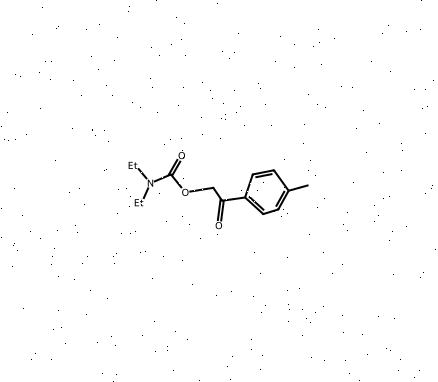 CCN(CC)C(=O)OCC(=O)c1ccc(C)cc1